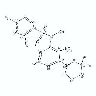 Cc1nc(C(C#N)S(=O)(=O)c2ccc(F)cc2F)c([N+](=O)[O-])c(N2CCOC(C)(C)C2)n1